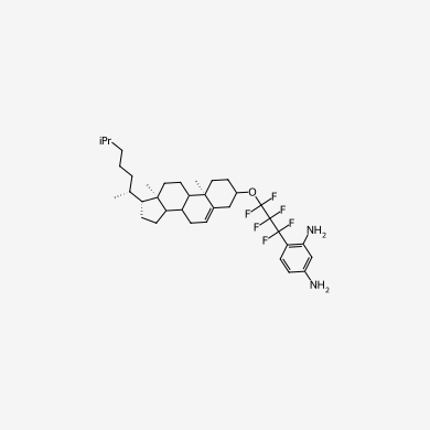 CC(C)CCC[C@@H](C)[C@H]1CCC2C3CC=C4CC(OC(F)(F)C(F)(F)C(F)(F)c5ccc(N)cc5N)CC[C@]4(C)C3CC[C@@]21C